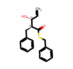 C=C[C@@H](O)[C@H](Cc1ccccc1)C(=O)SCc1ccccc1